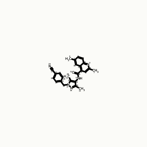 Cc1ccc2nc(C)cc(C(=O)Nc3c(C)nn(Cc4ccc(C#N)cc4)c3C)c2c1